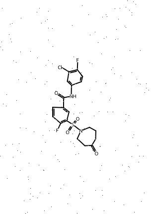 O=C1CCCN(S(=O)(=O)c2cc(C(=O)Nc3ccc(F)c(Cl)c3)ccc2F)CC1